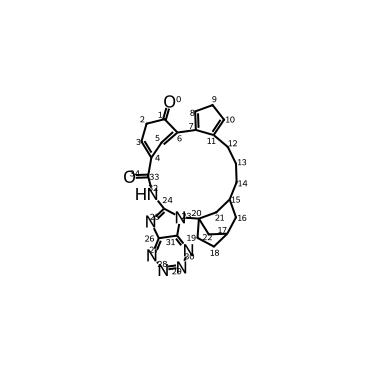 O=C1CC=C2C=C1C1=CCC=C1CCCC1CC3CCC(C1)(C3)n1c(nc3nnnnc31)NC2=O